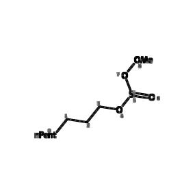 CCCCCCCCO[Si](=O)OOC